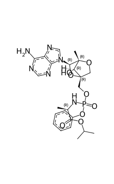 CC(C)OC(=O)[C@@H](C)NP(=O)(OC[C@]12CO[C@](C)([C@@H]1O)[C@H](n1cnc3c(N)ncnc31)O2)Oc1ccccc1